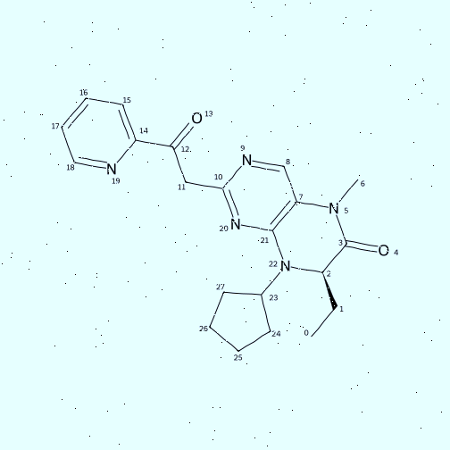 CC[C@@H]1C(=O)N(C)c2cnc(CC(=O)c3ccccn3)nc2N1C1CCCC1